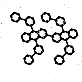 c1ccc(-c2cccc(-c3c4ccccc4c(-c4cccc(-c5ccccc5)c4)c4cc(-c5ccc6c(-c7cccc(-c8ccccc8)c7)c7ccccc7c(-c7cccc(-c8ccccc8)c7)c6c5)ccc34)c2)cc1